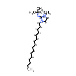 CCCCCCCCCCCCCCCCN1CCN(C)C1=NC(C)(C)C